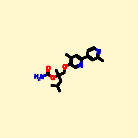 Cc1cc(-c2cc(C)c(OCC(C)(CC(C)C)OC(N)=O)cn2)ccn1